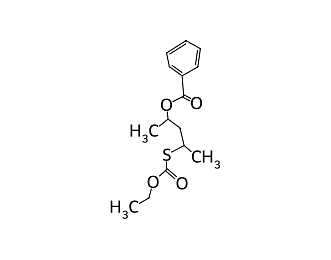 CCOC(=O)SC(C)CC(C)OC(=O)c1ccccc1